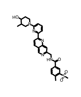 Cc1ccc(C(=O)NCc2cc3nc(-c4cccc(N5CCC(O)C(C)C5)n4)ccc3cn2)cc1S(C)(=O)=O